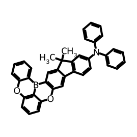 CC1(C)c2cc(N(c3ccccc3)c3ccccc3)ccc2-c2cc3c(cc21)B1c2ccccc2Oc2cccc(c21)O3